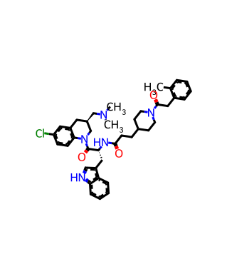 Cc1ccccc1CC(=O)N1CCC(CCC(=O)N[C@H](Cc2c[nH]c3ccccc23)C(=O)N2C[C@H](CN(C)C)Cc3cc(Cl)ccc32)CC1